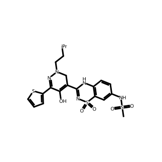 CC(C)CCN1CC(C2=NS(=O)(=O)c3cc(NS(C)(=O)=O)ccc3N2)=C(O)C(c2cccs2)=N1